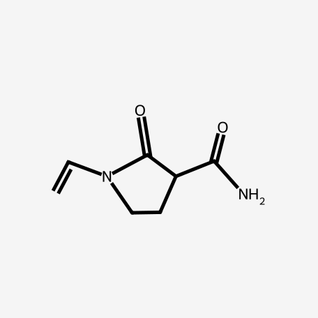 C=CN1CCC(C(N)=O)C1=O